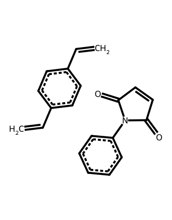 C=Cc1ccc(C=C)cc1.O=C1C=CC(=O)N1c1ccccc1